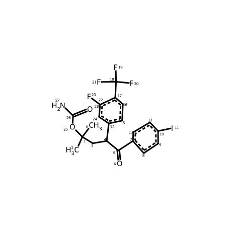 CC(C)(CC(C(=O)c1ccc(I)cc1)c1ccc(C(F)(F)F)c(F)c1)OC(N)=O